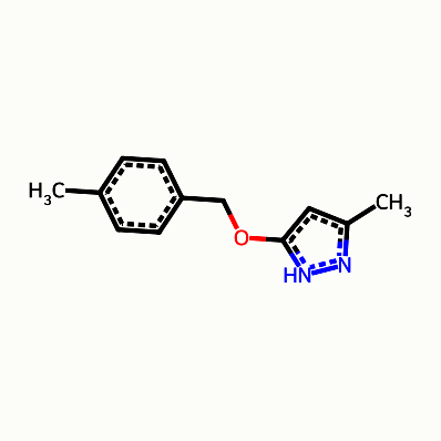 Cc1ccc(COc2cc(C)n[nH]2)cc1